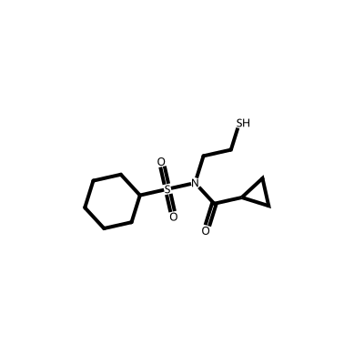 O=C(C1CC1)N(CCS)S(=O)(=O)C1CCCCC1